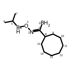 BC(=NOBC(C)C)C1CCCCCCC1